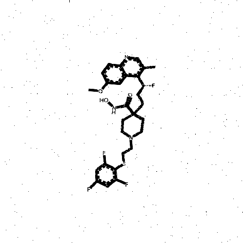 COc1ccc2ncc(C)c([C@H](F)CCC3(C(=O)NO)CCN(CCSc4c(F)cc(F)cc4F)CC3)c2c1